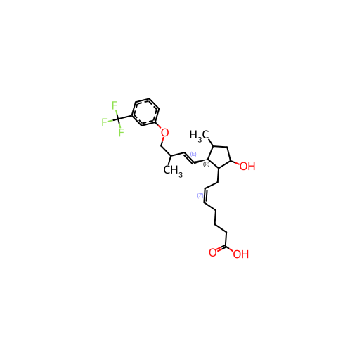 CC(/C=C/[C@H]1C(C)CC(O)C1C/C=C\CCCC(=O)O)COc1cccc(C(F)(F)F)c1